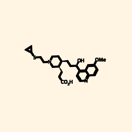 COc1ccc2nccc([C@H](O)CC[C@@H]3CCN(CCSC4CC4)C[C@H]3CCC(=O)O)c2c1